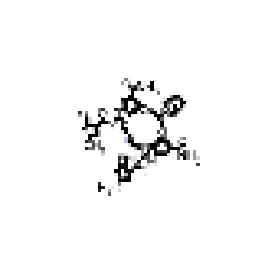 CCn1nc(C)cc1C(=O)Nc1nc2cc(C(N)=O)cc3c2n1C/C=C/Cn1c(NC(=O)c2cc(C)nn2CC)nc2cc(C(N)=O)cc(c21)OCC(N1CC2CCC(C1)O2)CO3